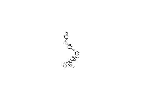 CC(C)(C)c1cc(NC(=O)Nc2cccc(C#Cc3cnc(NCCN4CCNCC4)nc3)c2)no1